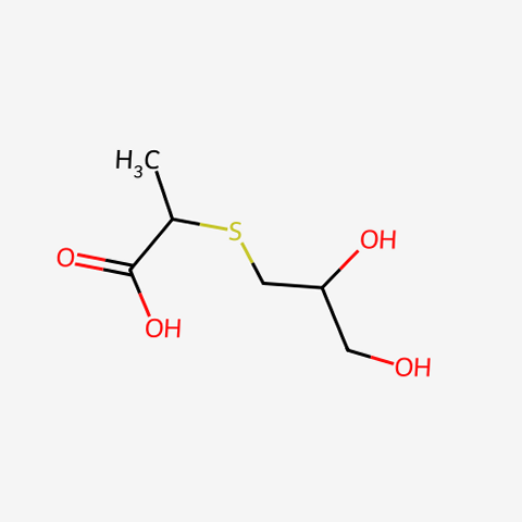 CC(SCC(O)CO)C(=O)O